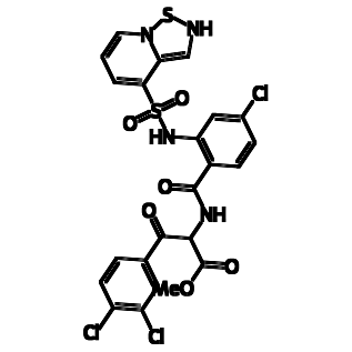 COC(=O)C(NC(=O)c1ccc(Cl)cc1NS(=O)(=O)C1=CC=CN2SNC=C12)C(=O)c1ccc(Cl)c(Cl)c1